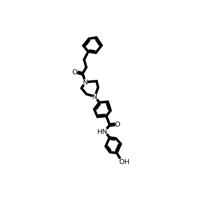 O=C(Nc1ccc(O)cc1)c1ccc(N2CCN(C(=O)CCc3ccccc3)CC2)cc1